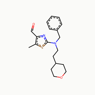 Cc1sc(N(CCC2CCOCC2)Cc2ccccc2)nc1C=O